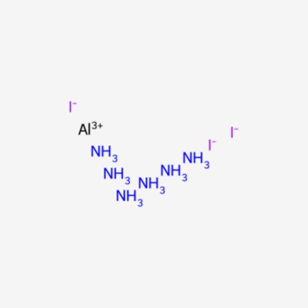 N.N.N.N.N.N.[Al+3].[I-].[I-].[I-]